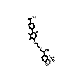 Cc1cc(OCCNC[C@@H](O)c2ccc(O)c(NS(C)(=O)=O)c2)c(C)c(C)c1-c1ccc(C(=O)O)cc1